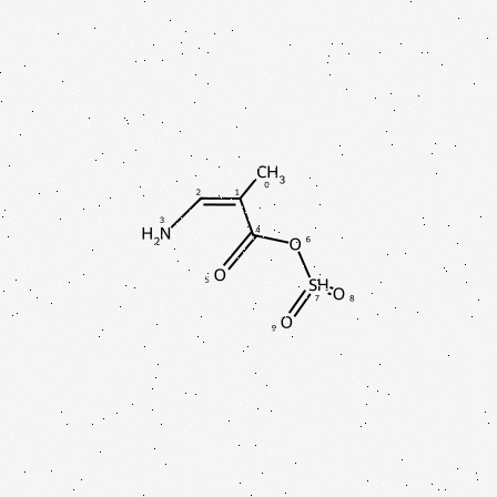 CC(=CN)C(=O)O[SH](=O)=O